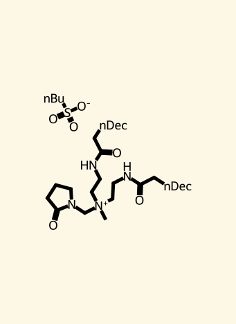 CCCCCCCCCCCC(=O)NCC[N+](C)(CCNC(=O)CCCCCCCCCCC)CN1CCCC1=O.CCCCS(=O)(=O)[O-]